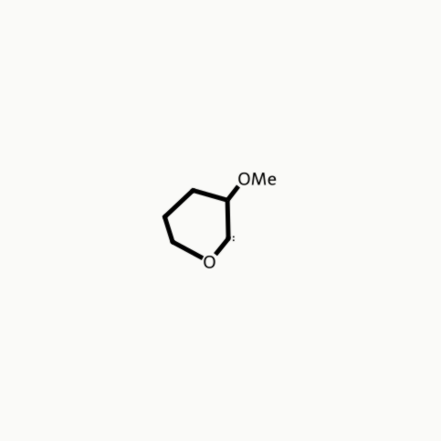 COC1[C]OCCC1